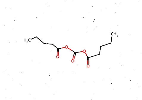 CCCCC(=O)OC(=O)OC(=O)CCCC